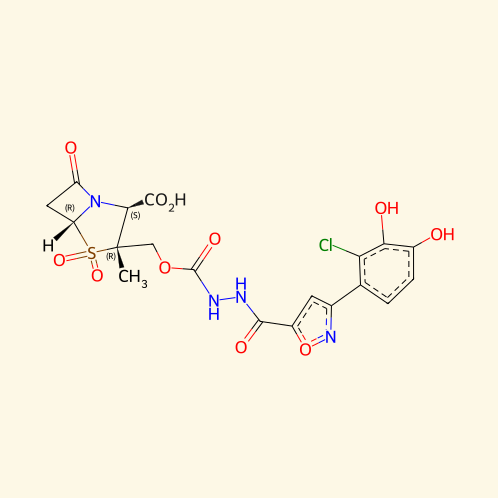 C[C@]1(COC(=O)NNC(=O)c2cc(-c3ccc(O)c(O)c3Cl)no2)[C@H](C(=O)O)N2C(=O)C[C@H]2S1(=O)=O